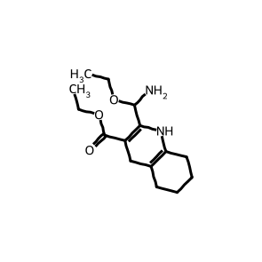 CCOC(=O)C1=C(C(N)OCC)NC2=C(CCCC2)C1